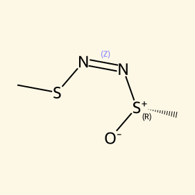 CS/N=N\[S@+](C)[O-]